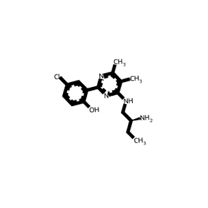 CC[C@H](N)CNc1nc(-c2cc(Cl)ccc2O)nc(C)c1C